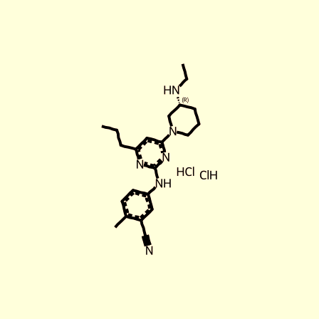 CCCc1cc(N2CCC[C@@H](NCC)C2)nc(Nc2ccc(C)c(C#N)c2)n1.Cl.Cl